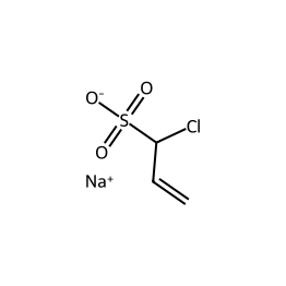 C=CC(Cl)S(=O)(=O)[O-].[Na+]